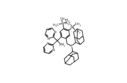 C[Si](C)(C)c1cc(CP(C2C3CC4CC(C3)CC2C4)C2C3CC4CC(C3)CC2C4)c(C(P)(c2ncccn2)c2ncccn2)cc1[Si](C)(C)C